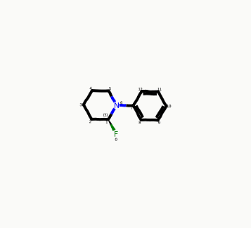 F[C@H]1CCCCN1c1cc[c]cc1